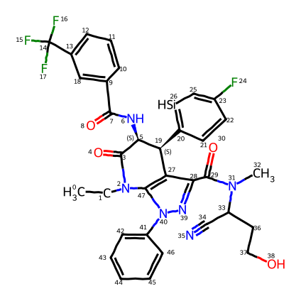 CCN1C(=O)[C@@H](NC(=O)c2cccc(C(F)(F)F)c2)[C@@H](c2ccc(F)c[siH]2)c2c(C(=O)N(C)C(C#N)CCO)nn(-c3ccccc3)c21